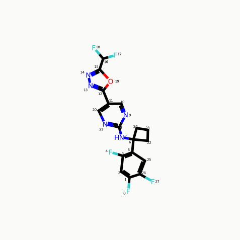 Fc1cc(F)c(C2(Nc3ncc(-c4nnc(C(F)F)o4)cn3)CCC2)cc1F